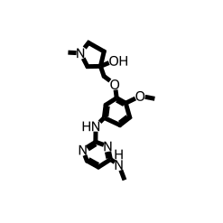 CNc1ccnc(Nc2ccc(OC)c(OCC3(O)CCN(C)C3)c2)n1